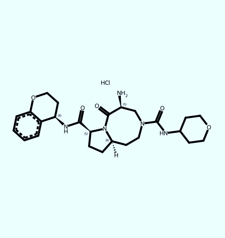 Cl.N[C@H]1CN(C(=O)NC2CCOCC2)CC[C@H]2CC[C@@H](C(=O)N[C@@H]3CCOc4ccccc43)N2C1=O